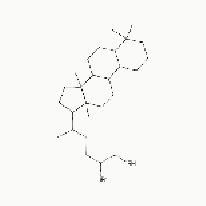 CC(C)C(CS)CCC(C)C1CCC2(C)C3CCC4C(CCCC4(C)C)C3CCC12C